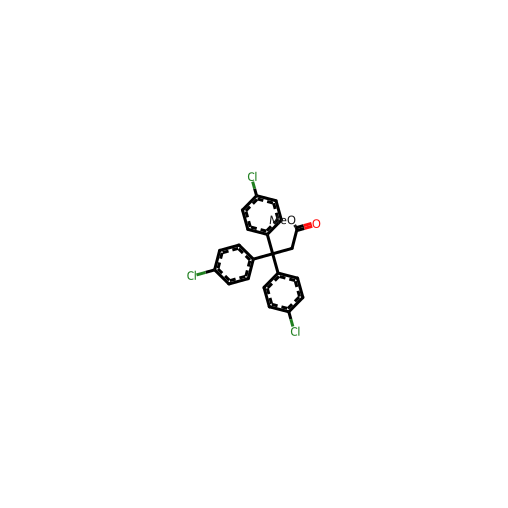 COC(=O)CC(c1ccc(Cl)cc1)(c1ccc(Cl)cc1)c1ccc(Cl)cc1